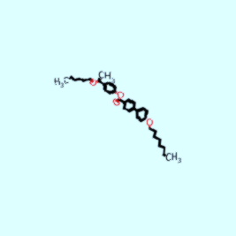 CCCCCCCCOc1ccc(-c2ccc(C(=O)Oc3ccc(C(C)OCCCCCC)cc3)cc2)cc1